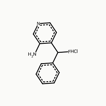 Cl.Nc1cnccc1C(F)c1ccccc1